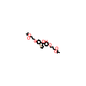 CC(C)(C)OC(=O)CCCOc1ccc(C(O)(c2ccc(OCCCC(=O)OC(C)(C)C)cc2)c2cccs2)cc1